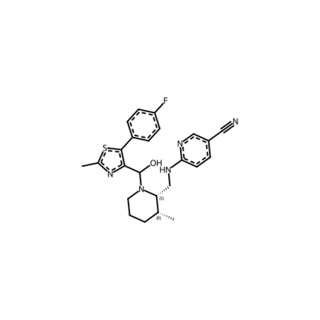 Cc1nc(C(O)N2CCC[C@@H](C)[C@H]2CNc2ccc(C#N)cn2)c(-c2ccc(F)cc2)s1